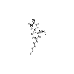 CCCCCCN1CCC(C2CCC(=O)N(C)C2)C(N)C1